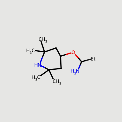 CCC(N)OC1CC(C)(C)NC(C)(C)C1